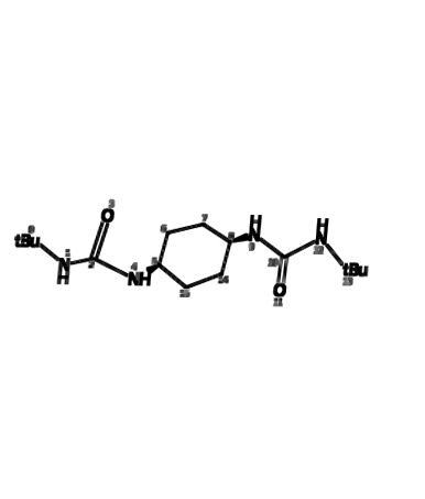 CC(C)(C)NC(=O)N[C@H]1CC[C@@H](NC(=O)NC(C)(C)C)CC1